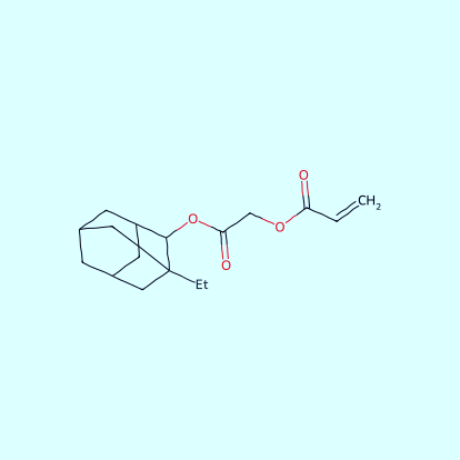 C=CC(=O)OCC(=O)OC1C2CC3CC(C2)CC1(CC)C3